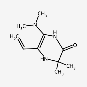 C=CC1=C(N(C)C)NC(=O)C(C)(C)N1